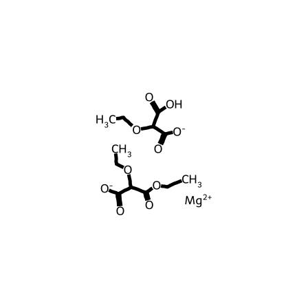 CCOC(=O)C(OCC)C(=O)[O-].CCOC(C(=O)[O-])C(=O)O.[Mg+2]